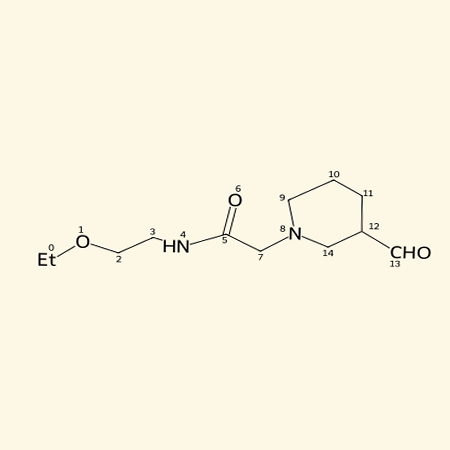 CCOCCNC(=O)CN1CCCC(C=O)C1